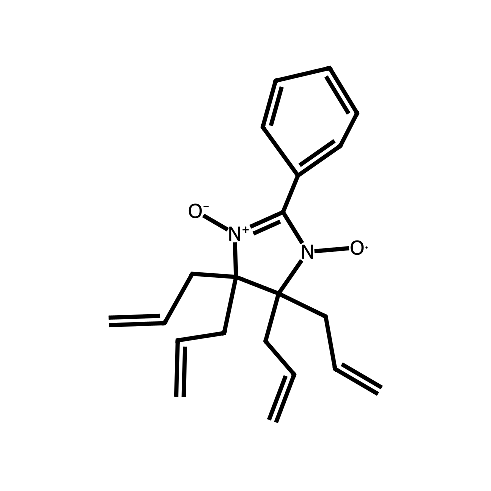 C=CCC1(CC=C)N([O])C(c2ccccc2)=[N+]([O-])C1(CC=C)CC=C